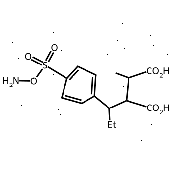 CCC(c1ccc(S(=O)(=O)ON)cc1)C(C(=O)O)C(C)C(=O)O